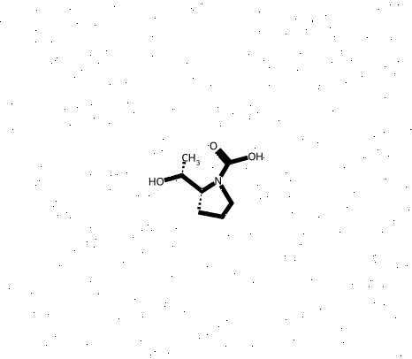 C[C@@H](O)[C@H]1CCCN1C(=O)O